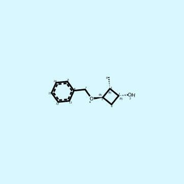 C[C@@H]1[C@H](O)C[C@H]1OCc1ccccc1